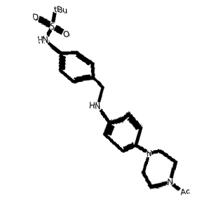 CC(=O)N1CCN(c2ccc(NCc3ccc(NS(=O)(=O)C(C)(C)C)cc3)cc2)CC1